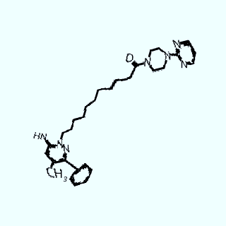 Cc1cc(=N)n(CCCCCCCCCCC(=O)N2CCN(c3ncccn3)CC2)nc1-c1ccccc1